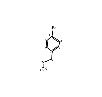 N#CSCc1ccc(Br)cc1